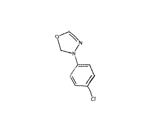 Clc1ccc(N2CO[C]=N2)cc1